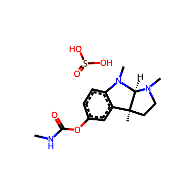 CNC(=O)Oc1ccc2c(c1)[C@]1(C)CCN(C)[C@@H]1N2C.O=S(O)O